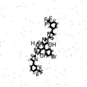 Cc1nn(-c2nc(-c3cccc(C(F)(F)F)c3)cs2)c(O)c1C(c1ccc(Br)cc1)c1c(C)nn(-c2nc(-c3cccc(C(F)(F)F)c3)cs2)c1O